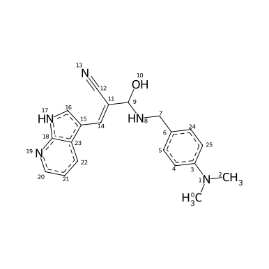 CN(C)c1ccc(CNC(O)/C(C#N)=C/c2c[nH]c3ncccc23)cc1